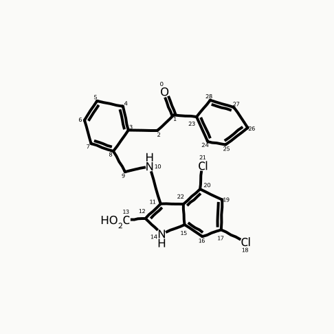 O=C(Cc1ccccc1CNc1c(C(=O)O)[nH]c2cc(Cl)cc(Cl)c12)c1ccccc1